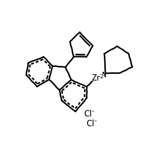 C1=CCC(C2c3ccccc3-c3ccc[c]([Zr+2]=[C]4CCCCC4)c32)=C1.[Cl-].[Cl-]